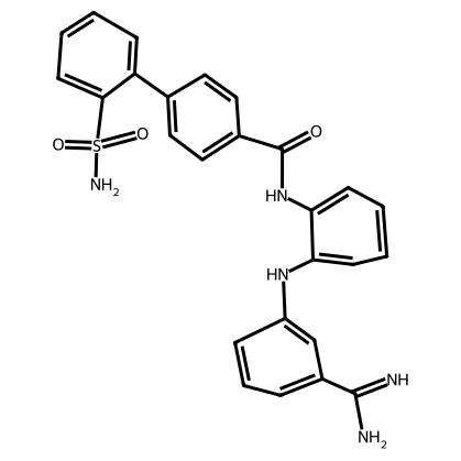 N=C(N)c1cccc(Nc2ccccc2NC(=O)c2ccc(-c3ccccc3S(N)(=O)=O)cc2)c1